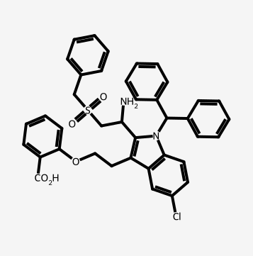 NC(CS(=O)(=O)Cc1ccccc1)c1c(CCOc2ccccc2C(=O)O)c2cc(Cl)ccc2n1C(c1ccccc1)c1ccccc1